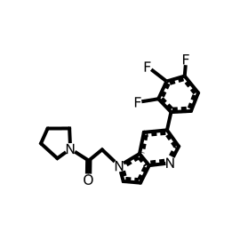 O=C(Cn1ccc2ncc(-c3ccc(F)c(F)c3F)cc21)N1CCCC1